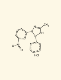 CC1=NN(c2cccc([N+](=O)[O-])c2)N(c2ccccc2)N1.Cl